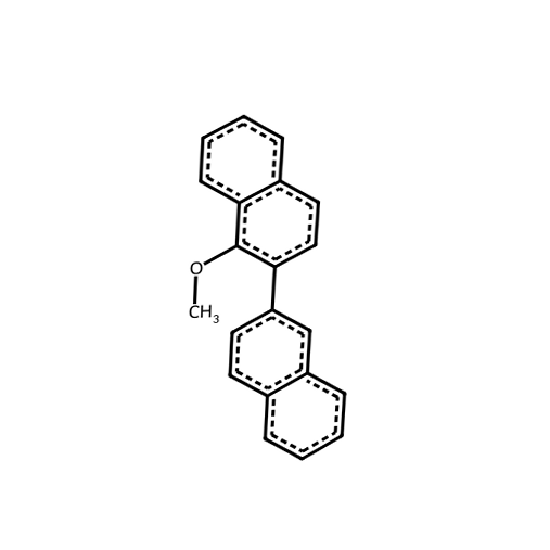 COc1c(-c2ccc3ccccc3c2)ccc2ccccc12